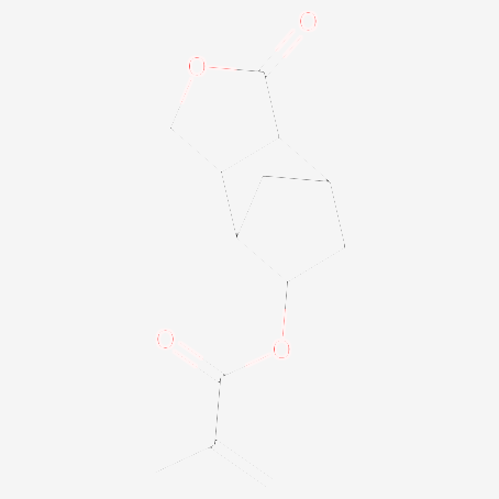 C=C(C)C(=O)OC1CC2CC1C1COC(=O)C21